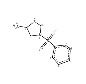 CC1CN(S(=O)(=O)c2cccnc2)CS1